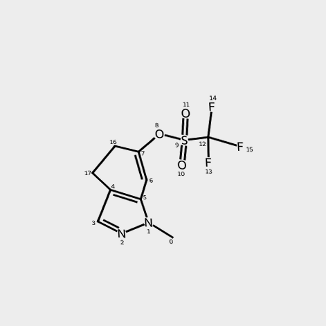 Cn1ncc2c1C=C(OS(=O)(=O)C(F)(F)F)CC2